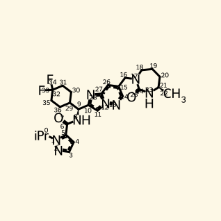 CC(C)n1nccc1C(=O)N[C@H](c1cn2ncc(CN3CCC[C@@H](C)NC3=O)cc2n1)C1CCC(F)(F)CC1